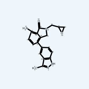 Cc1n[nH]c2ccc(-c3ccc(N)c4c3CN(CC3CO3)C4=O)cc12